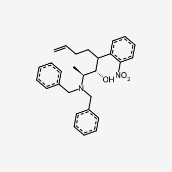 C=CCCC(c1ccccc1[N+](=O)[O-])[C@H](O)[C@H](C)N(Cc1ccccc1)Cc1ccccc1